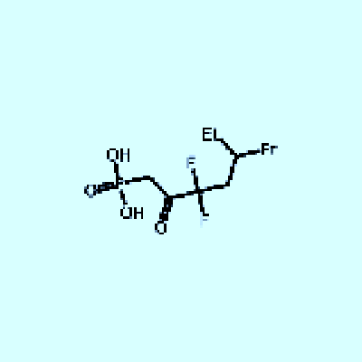 CCC(CC)CC(F)(F)C(=O)CP(=O)(O)O